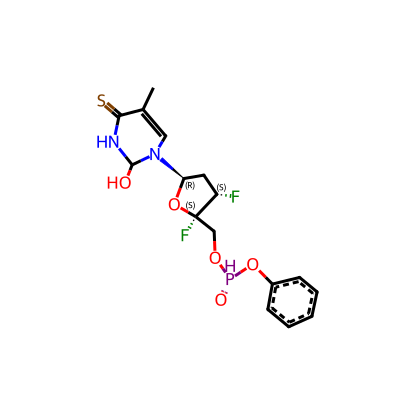 CC1=CN([C@H]2C[C@H](F)[C@@](F)(CO[PH](=O)Oc3ccccc3)O2)C(O)NC1=S